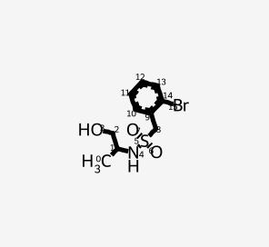 CC(CO)NS(=O)(=O)Cc1ccccc1Br